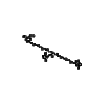 CCCC(=O)N(C=O)OC(=O)CCOCCOCCOCCOCCN(CCOCCOCCOCCOCCC(=O)ON1C(=O)CCC1=O)C(=O)CCN1C(=O)C=CC1=O